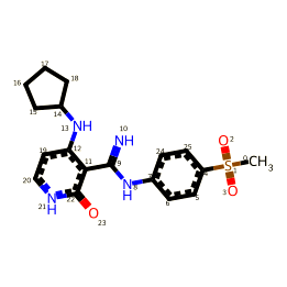 CS(=O)(=O)c1ccc(NC(=N)c2c(NC3CCCC3)cc[nH]c2=O)cc1